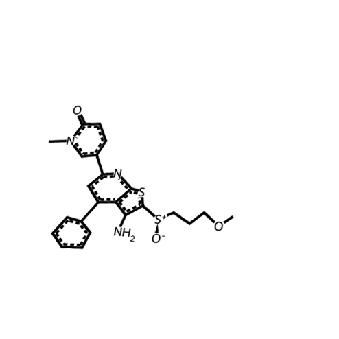 COCCC[S@@+]([O-])c1sc2nc(-c3ccc(=O)n(C)c3)cc(-c3ccccc3)c2c1N